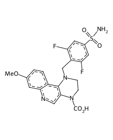 COc1ccc2c3c(cnc2c1)N(C(=O)O)CCN3Cc1c(F)cc(S(N)(=O)=O)cc1F